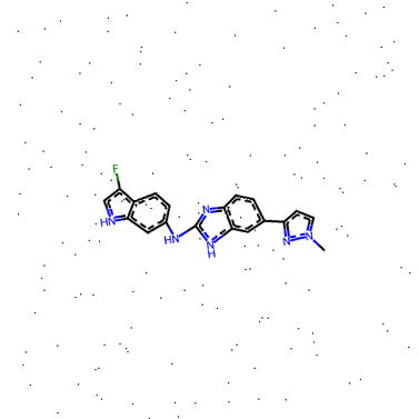 Cn1ccc(-c2ccc3nc(Nc4ccc5c(F)c[nH]c5c4)[nH]c3c2)n1